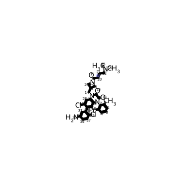 Cc1cccc(C(C)C)c1-n1c(=O)c(=O)n(CC2CN(C(=O)/C=C/CN(C)C)C2)c2cc(Cl)c(-c3cc(N)ccc3Cl)cc21